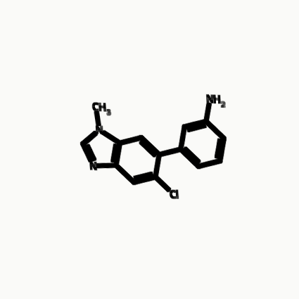 Cn1cnc2cc(Cl)c(-c3cccc(N)c3)cc21